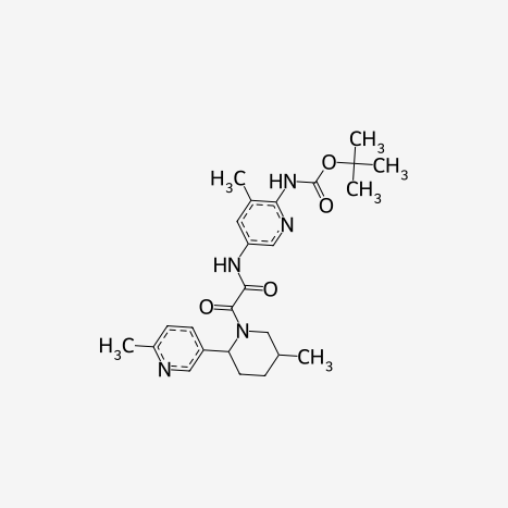 Cc1ccc(C2CCC(C)CN2C(=O)C(=O)Nc2cnc(NC(=O)OC(C)(C)C)c(C)c2)cn1